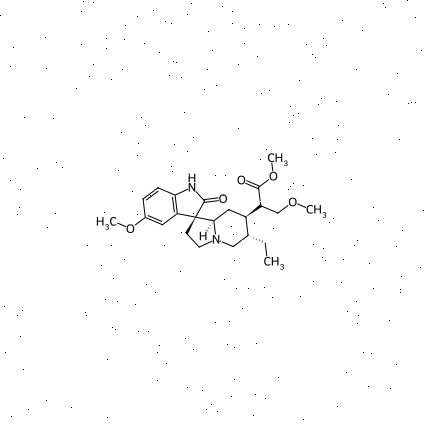 CC[C@@H]1CN2CC[C@@]3(C(=O)Nc4ccc(OC)cc43)[C@H]2C[C@H]1C(COC)C(=O)OC